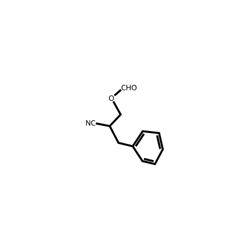 N#CC(COC=O)Cc1ccccc1